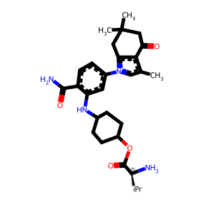 Cc1cn(-c2ccc(C(N)=O)c(NC3CCC(OC(=O)[C@@H](N)C(C)C)CC3)c2)c2c1C(=O)CC(C)(C)C2